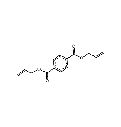 C=CCOC(=O)c1ccc(C(=O)OCC=C)cc1